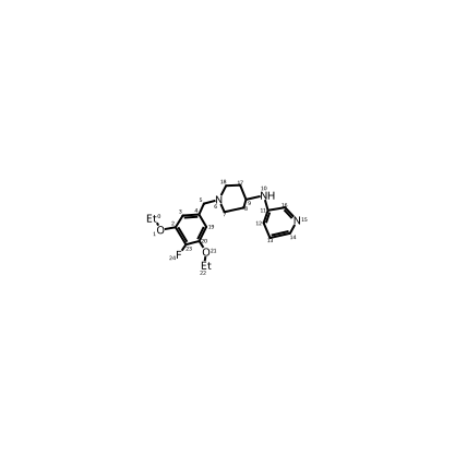 CCOc1cc(CN2CCC(Nc3cccnc3)CC2)cc(OCC)c1F